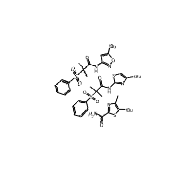 CC(C)(C)c1cc(NC(=O)C(C)(C)S(=O)(=O)c2ccccc2)no1.CC(C)(C)c1csc(NC(=O)C(C)(C)S(=O)(=O)c2ccccc2)n1.Cc1nc(C(N)=O)sc1C(C)(C)C